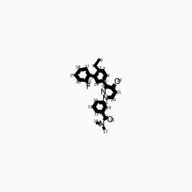 CCc1ccc(-c2nn(-c3cccc(C(=O)N(C)C)c3)ccc2=O)cc1-c1ccccc1F